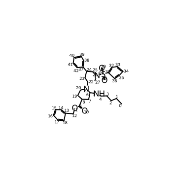 CCCCCNC1CC(C(=O)OCc2ccccc2)CCN1CCC(CN(C)S(=O)(=O)c1ccccc1)c1ccccc1